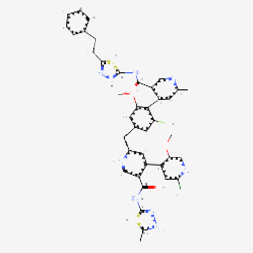 COc1cnc(Cl)cc1-c1cc(Cc2cc(F)c(-c3cc(C)ncc3C(=O)Nc3nnc(CCc4ccccc4)s3)c(OC)c2)ncc1C(=O)Nc1nnc(C)s1